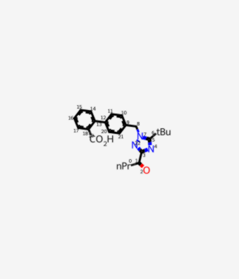 CCCC(=O)c1nc(C(C)(C)C)n(Cc2ccc(-c3ccccc3C(=O)O)cc2)n1